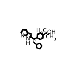 CC(C)(O)c1ccc([C@@H](CC2CCCC2)c2cc3cccnc3[nH]2)cc1